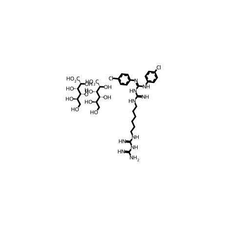 N=C(N)NC(=N)NCCCCCCNC(=N)NC(=Nc1ccc(Cl)cc1)Nc1ccc(Cl)cc1.O=C(O)[C@H](O)[C@@H](O)[C@H](O)[C@H](O)CO.O=C(O)[C@H](O)[C@@H](O)[C@H](O)[C@H](O)CO